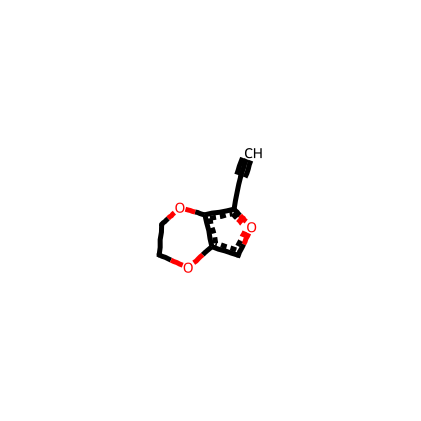 C#Cc1occ2c1OCCO2